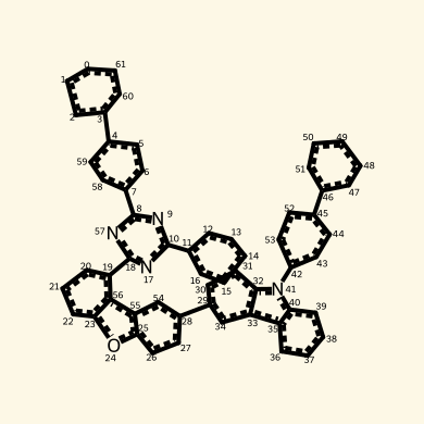 c1ccc(-c2ccc(-c3nc(-c4ccccc4)nc(-c4cccc5oc6ccc(-c7ccc8c(c7)c7ccccc7n8-c7ccc(-c8ccccc8)cc7)cc6c45)n3)cc2)cc1